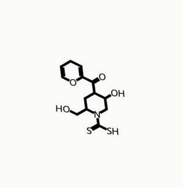 O=C(C1=CCC=CO1)C1CC(CO)N(C(=S)S)CC1O